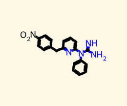 N=C(N)N(c1ccccc1)c1cccc(Cc2ccc([N+](=O)[O-])cc2)n1